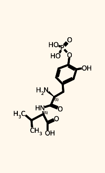 CC(C)[C@H](NC(=O)[C@@H](N)Cc1ccc(OP(=O)(O)O)c(O)c1)C(=O)O